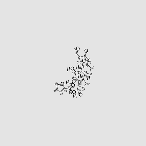 C[C@@]12CC(C=O)C(=O)C=C1CC[C@H]1[C@H]2[C@H](O)C[C@]2(C)[C@@H]1CC[C@@]2(OC(=O)c1ccco1)C(=O)O